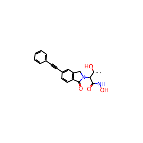 C[C@@H](O)[C@@H](C(=O)NO)N1Cc2cc(C#Cc3ccccc3)ccc2C1=O